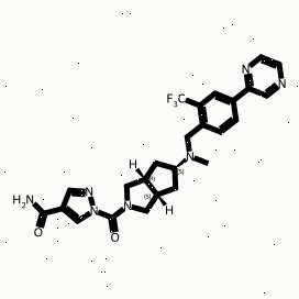 CN(Cc1ccc(-c2cnccn2)cc1C(F)(F)F)[C@H]1C[C@@H]2CN(C(=O)n3cc(C(N)=O)cn3)C[C@@H]2C1